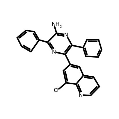 Nc1nc(-c2ccccc2)c(-c2cc(Cl)c3ncccc3c2)nc1-c1ccccc1